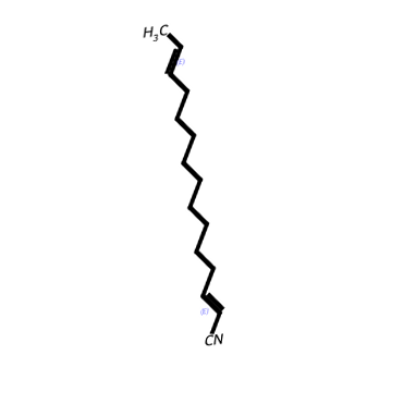 C/C=C/CCCCCCCCC/C=C/C#N